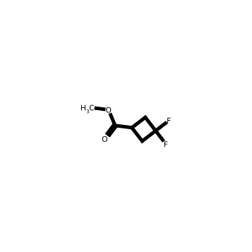 COC(=O)C1CC(F)(F)C1